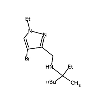 CCCCC(C)(CC)NCc1nn(CC)cc1Br